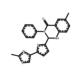 Cc1ccc2c(c1)C(=O)N(c1ccccc1)C(c1ccc(-c3csc(C)n3)s1)N2